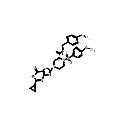 O=C(NCc1ccc(OC(F)(F)F)cc1)[C@H]1CN(c2nc3nc(C4CC4)[nH]c(=O)c3s2)CCN1S(=O)(=O)c1ccc(OC(F)(F)F)cc1